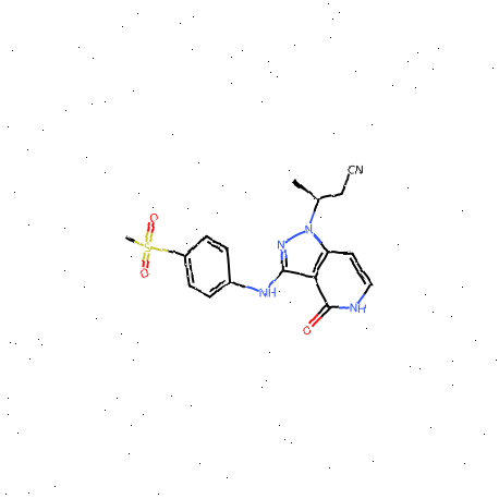 C[C@@H](CC#N)n1nc(Nc2ccc(S(C)(=O)=O)cc2)c2c(=O)[nH]ccc21